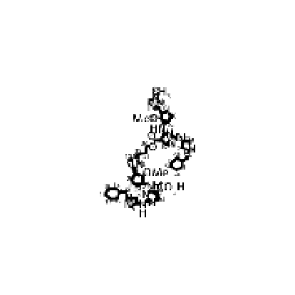 COc1c(Nc2nc(Nc3cnn(CC4CCCCC4)c3)ncc2C(=O)O)cccc1-c1ncn(CCCOC(=O)c2cnc(Nc3cnn(CC4CCCCC4)c3)nc2Nc2cccc(-c3ncn(C)n3)c2OC)n1